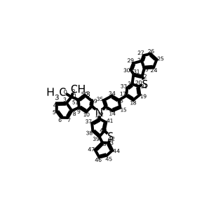 CC1(C)c2ccccc2-c2cc(N(c3ccc(-c4ccc5sc6c7ccccc7ccc6c5c4)cc3)c3ccc4c(c3)sc3ccccc34)ccc21